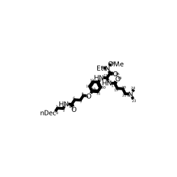 CCCCCCCCCCCCNC(=O)CCCOc1ccc(NC(NC(=O)CCCN(C)C)C(=O)N(CC)OC)cc1